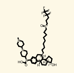 CN1CCC(N2CCC(N(C(=O)O)c3ccc4c(c3)C[C@@H](CCCCCCCCC[S+]([O-])CCCC(F)(F)C(F)(F)F)[C@@H]3[C@@H]4CC[C@]4(C)[C@@H](O)CC[C@@H]34)CC2)CC1